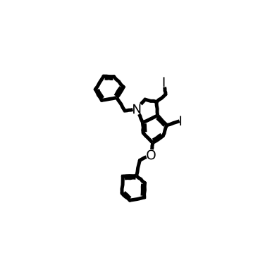 ICC1CN(Cc2ccccc2)c2cc(OCc3ccccc3)cc(I)c21